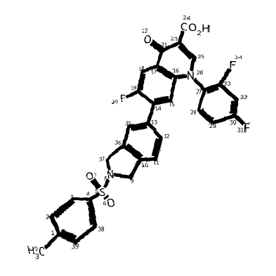 Cc1ccc(S(=O)(=O)N2Cc3ccc(-c4cc5c(cc4F)c(=O)c(C(=O)O)cn5-c4ccc(F)cc4F)cc3C2)cc1